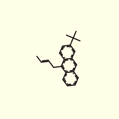 CC=CCc1c2ccccc2cc2cc(C(C)(C)C)ccc12